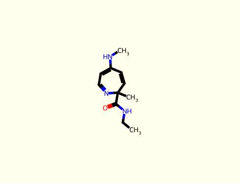 CCNC(=O)C1(C)C=CC(NC)=CC=N1